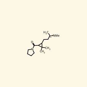 CN[C@H](C)CCC1C(C(=O)N2CCCC2)C1(C)C